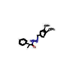 COc1ccc(/C=N/NC(=O)C(C)c2ccccc2)cc1OC